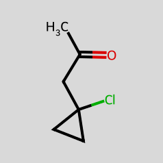 CC(=O)CC1(Cl)CC1